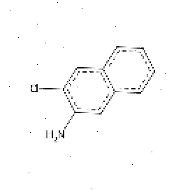 Nc1cc2c[c]ccc2cc1Cl